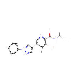 Cc1c(-c2cnn(-c3ccccc3)c2)cnc(C(=O)NC(C)C(=O)O)c1O